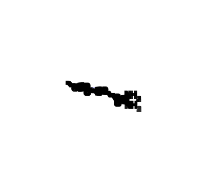 CCCCOc1ccc(OC(=O)/C=C/c2ccc(OCCCCCOC(=O)c3cc(N)cc(N)c3)cc2)cc1